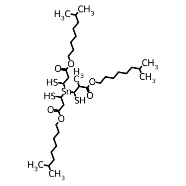 CC(C)CCCCCCOC(=O)C[CH](S)[Sn]([CH](S)CC(=O)OCCCCCCC(C)C)[CH](S)C(C)C(=O)OCCCCCCC(C)C